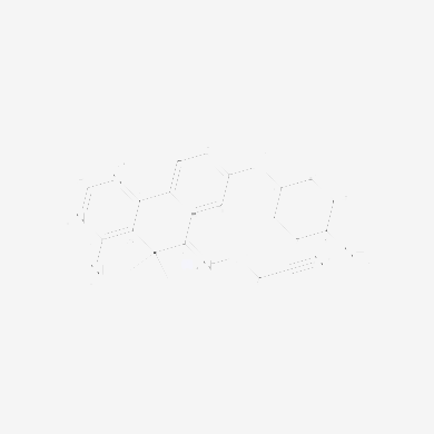 CC1(C)/C(=N/OCC#N)c2cc(OC3CCC(N)CC3)ccc2-c2ncnc(N)c21